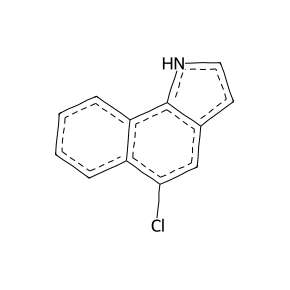 Clc1cc2cc[nH]c2c2ccccc12